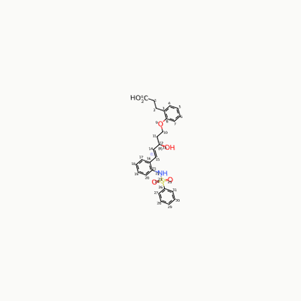 O=C(O)CCc1ccccc1OCC[C@@H](O)/C=C/c1ccccc1NS(=O)(=O)c1ccccc1